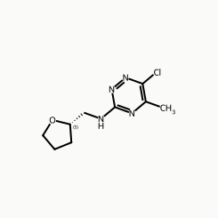 Cc1nc(NC[C@@H]2CCCO2)nnc1Cl